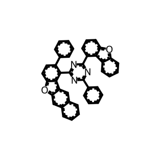 c1ccc(-c2nc(-c3cccc4oc5ccccc5c34)nc(-c3c(-c4ccccc4)ccc4oc5cc6ccccc6cc5c34)n2)cc1